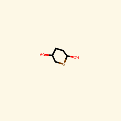 OC1CCC(O)SC1